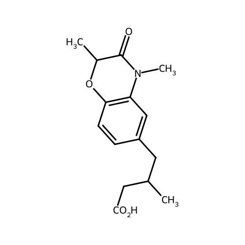 CC(CC(=O)O)Cc1ccc2c(c1)N(C)C(=O)C(C)O2